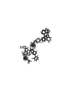 Cc1ncsc1-c1ccc([C@H](Cn2cc(CN3CCC(c4ccc5c(c4)-n4c(nc(=O)c6c(Br)cccc64)C54CCCCC4)CC3)nn2)NC(=O)[C@@H]2C[C@@H](O)CN2C(=O)[C@@H](n2cc(C3CC3)nn2)C(C)(C)C)cc1